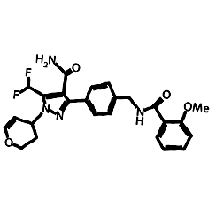 COc1ccccc1C(=O)NCc1ccc(-c2nn(C3C=COCC3)c(C(F)F)c2C(N)=O)cc1